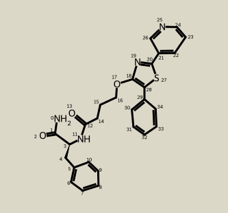 NC(=O)[C@H](Cc1ccccc1)NC(=O)CCCOc1nc(-c2cccnc2)sc1-c1ccccc1